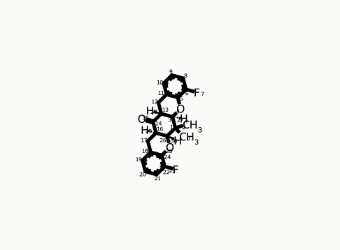 CC1(C)[C@@H]2Oc3c(F)cccc3C[C@H]2C(=O)[C@@H]2Cc3cccc(F)c3O[C@H]21